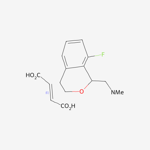 CNCC1OCCc2cccc(F)c21.O=C(O)/C=C/C(=O)O